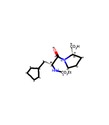 CCOC(=O)N[C@H](CC1CCCC1)C(=O)N1CCC[C@H]1C(=O)O